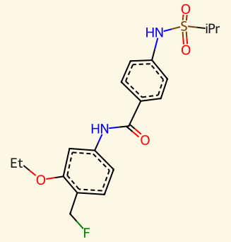 CCOc1cc(NC(=O)c2ccc(NS(=O)(=O)C(C)C)cc2)ccc1CF